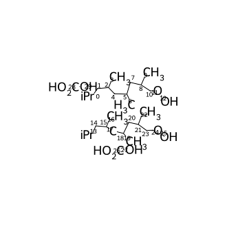 CC(C)CC(C)CC(C)CC(C)COO.CC(C)CC(C)CC(C)CC(C)COO.O=C(O)O.O=C(O)O